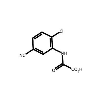 N#Cc1ccc(Cl)c(NC(=O)C(=O)O)c1